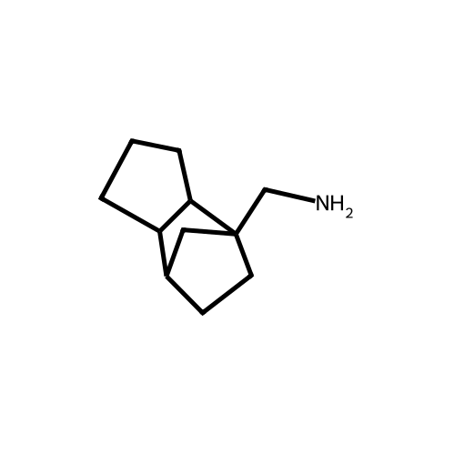 NCC12CCC(C1)C1CCCC12